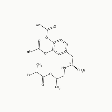 CCCC(=O)Oc1ccc(C[C@H](NCC(C)OC(=O)C(C)C(C)C)C(=O)O)cc1OC(=O)CCC